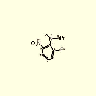 CC(C)N(C)c1c(F)cccc1[N+](=O)[O-]